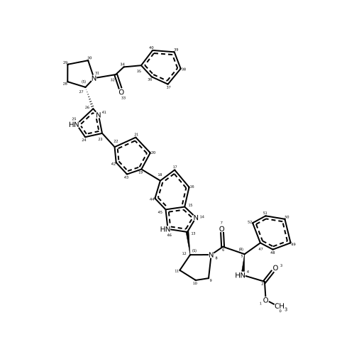 COC(=O)N[C@@H](C(=O)N1CCC[C@H]1c1nc2ccc(-c3ccc(-c4c[nH]c([C@@H]5CCCN5C(=O)Cc5ccccc5)n4)cc3)cc2[nH]1)c1ccccc1